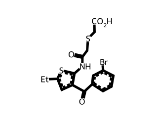 CCc1cc(C(=O)c2cccc(Br)c2)c(NC(=O)CSCC(=O)O)s1